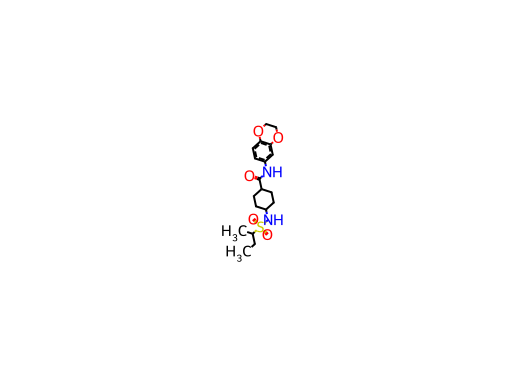 CCC(C)S(=O)(=O)NC1CCC(C(=O)Nc2ccc3c(c2)OCCO3)CC1